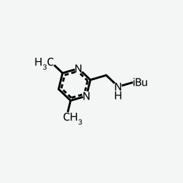 CCC(C)NCc1nc(C)cc(C)n1